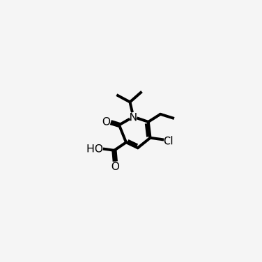 CCc1c(Cl)cc(C(=O)O)c(=O)n1C(C)C